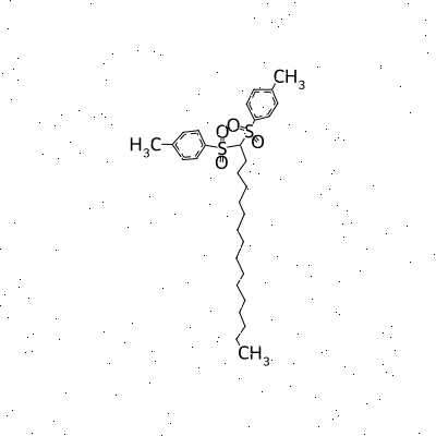 CCCCCCCCCCCCCCCC(S(=O)(=O)c1ccc(C)cc1)S(=O)(=O)c1ccc(C)cc1